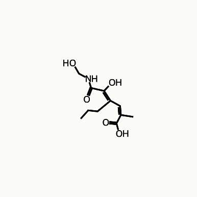 CCCC(C=C(C)C(=O)O)=C(O)C(=O)NCO